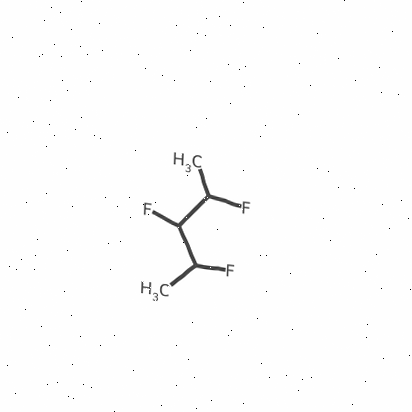 CC(F)C(F)C(C)F